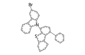 Brc1ccc2c(c1)c1ccccc1n2-c1ccc(-c2ccccc2)c2c1sc1ccccc12